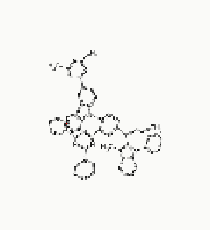 C=C/C=C(/c1ccc(-n2c3ccccc3c3cc(-c4cc(C)cc(C)c4)ccc32)c(-c2nc(-c3ccccc3)nc(-c3ccccc3)n2)c1)c1c(C)c2ccccc2n1-c1ccccc1